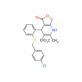 CCOC(=O)C1=C(C)NC2=C(C(=O)OC2)C1c1ccccc1SCc1ccc(Cl)cc1